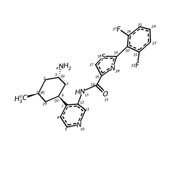 C[C@H]1C[C@H](N)C[C@@H](c2ccncc2NC(=O)c2csc(-c3c(F)cccc3F)n2)C1